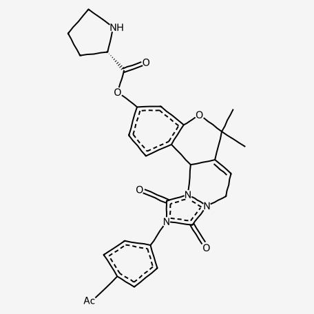 CC(=O)c1ccc(-n2c(=O)n3n(c2=O)C2C(=CC3)C(C)(C)Oc3cc(OC(=O)[C@@H]4CCCN4)ccc32)cc1